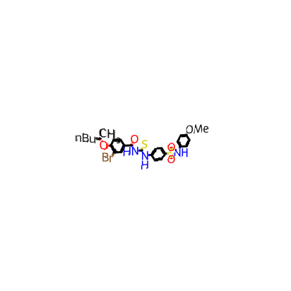 CCCCC(C)Oc1ccc(C(=O)NC(=S)Nc2ccc(S(=O)(=O)Nc3ccc(OC)cc3)cc2)cc1Br